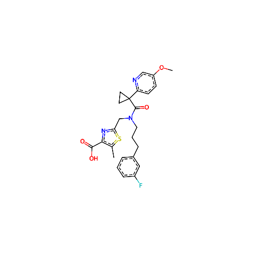 COc1ccc(C2(C(=O)N(CCCc3cccc(F)c3)Cc3nc(C(=O)O)c(C)s3)CC2)nc1